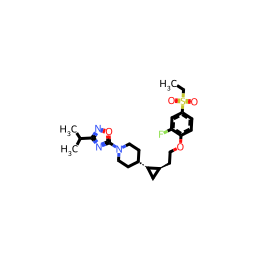 CCS(=O)(=O)c1ccc(OCC[C@H]2C[C@@H]2C2CCN(c3nc(C(C)C)no3)CC2)c(F)c1